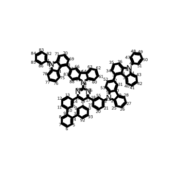 c1ccc(-c2ccccc2-c2cccc(-c3cc(-c4cccc(-n5c6ccccc6c6cc(-c7cccc8c7c7ccccc7n8-c7ccccc7)ccc65)c4)nc(-n4c5ccccc5c5cc(-c6cccc7c6c6ccccc6n7-c6ccccc6)ccc54)n3)c2)cc1